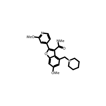 CNC(=O)c1c(-c2ccnc(OC)c2)oc2cc(OC)cc(CN3CCCCC3)c12